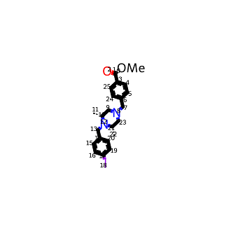 COC(=O)c1ccc(CN2C[C@@H](C)N(Cc3ccc(I)cc3)[C@@H](C)C2)cc1